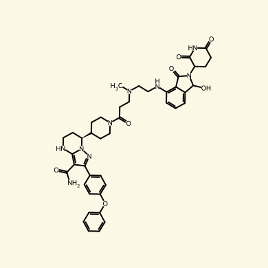 CN(CCNc1cccc2c1C(=O)N(C1CCC(=O)NC1=O)C2O)CCC(=O)N1CCC([C@@H]2CCNc3c(C(N)=O)c(-c4ccc(Oc5ccccc5)cc4)nn32)CC1